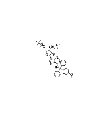 COc1ccc(C(Nc2ncnc3c2ncn3[C@@H]2O[C@H](CO[Si](C)(C)C(C)(C)C)[C@@H](O[Si](C)(C)C(C)(C)C)[C@@]2(C)F)(c2ccccc2)c2ccccc2)cc1